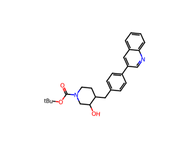 CC(C)(C)OC(=O)N1CCC(Cc2ccc(-c3cnc4ccccc4c3)cc2)C(O)C1